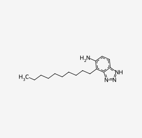 CCCCCCCCCCc1c(N)ccc2[nH]nnc12